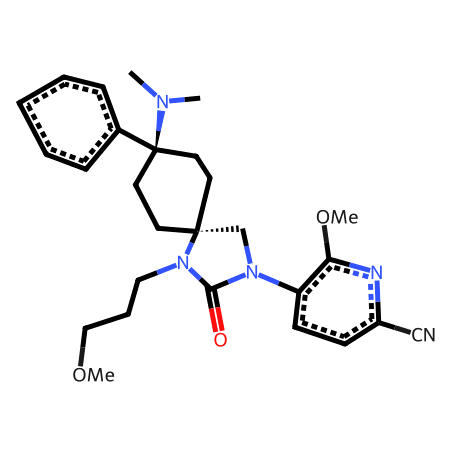 COCCCN1C(=O)N(c2ccc(C#N)nc2OC)C[C@]12CC[C@](c1ccccc1)(N(C)C)CC2